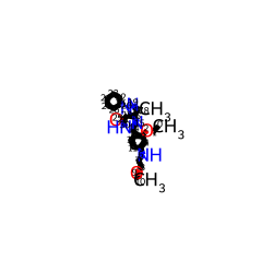 CCOc1cc(NCCOC)ccc1-c1nc2c(C)nn(C3CCCCC3)c2c(=O)[nH]1